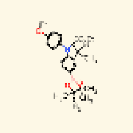 CCOC(=O)C1N(c2ccc(OC(C)C)cc2)c2ccc(B3OC(C)(C)C(C)(C)O3)cc2C1(C)CC